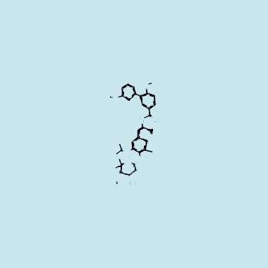 COc1cccc(-c2cc(C(=O)Nc3cc4cc(OC(C)C)c(O[C@@H]5OC(C)(C)[C@H](OC)[C@@H](O)[C@H]5O)c(C)c4oc3=O)ccc2OC)c1